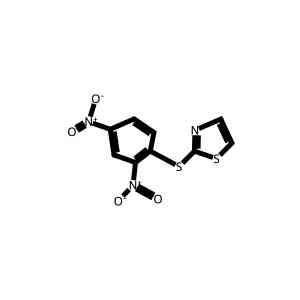 O=[N+]([O-])c1ccc(Sc2nccs2)c([N+](=O)[O-])c1